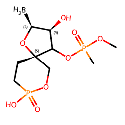 B[C@@H]1O[C@]2(CCP(=O)(O)OC2)C(OP(C)(=O)OC)[C@@H]1O